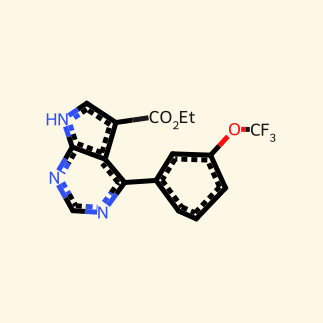 CCOC(=O)c1c[nH]c2ncnc(-c3cccc(OC(F)(F)F)c3)c12